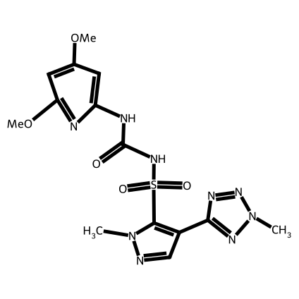 COc1cc(NC(=O)NS(=O)(=O)c2c(-c3nnn(C)n3)cnn2C)nc(OC)c1